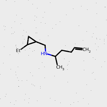 C=CCCC(C)NCC1CC1CC